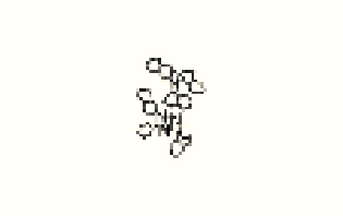 c1ccc(-c2nc(-c3cccc4ccccc34)nc(-c3c(-c4cccc5ccccc45)cc(-n4c5cc6ccccc6cc5c5ccc6ccccc6c54)c4ccccc34)n2)cc1